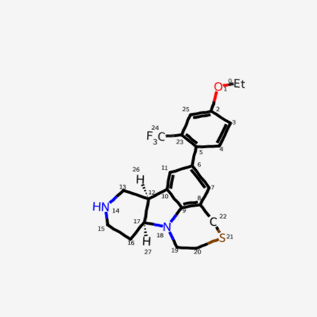 CCOc1ccc(-c2cc3c4c(c2)[C@@H]2CNCC[C@@H]2N4CCSC3)c(C(F)(F)F)c1